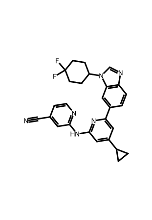 N#Cc1ccnc(Nc2cc(C3CC3)cc(-c3ccc4ncn(C5CCC(F)(F)CC5)c4c3)n2)c1